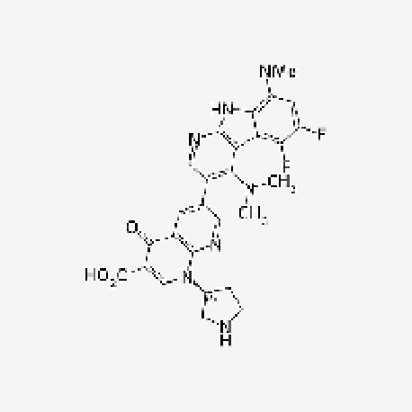 CNc1cc(F)c(F)c2c1[nH]c1ncc(-c3cnc4c(c3)c(=O)c(C(=O)O)cn4[C@H]3CCNC3)c(N(C)C)c12